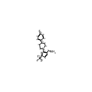 NCc1ccc(C(F)(F)F)nc1N1CCC(c2ccc(F)cc2)CC1